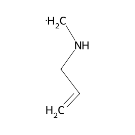 [CH2]NCC=C